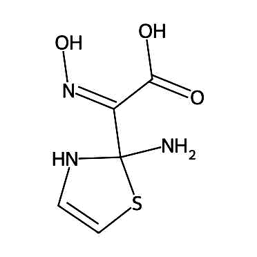 NC1(C(=NO)C(=O)O)NC=CS1